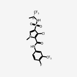 C[C@@H](NS(=O)(=O)c1cn(C)c(C(=O)Nc2ccc(F)c(C(F)(F)F)c2)c1Cl)C(F)(F)F